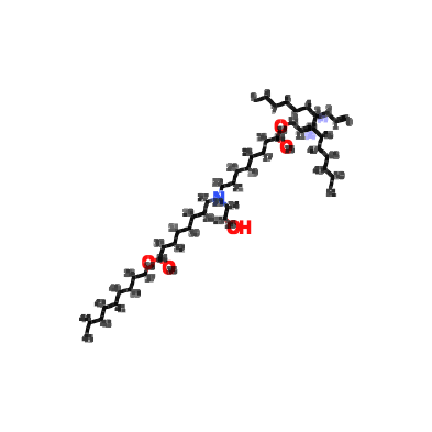 C=C/C=C(CCCCCC)\C(=C/COC(=O)CCCCCCCN(CCO)CCCCCCCC(=O)OCCCCCCCCC)CCCCCC